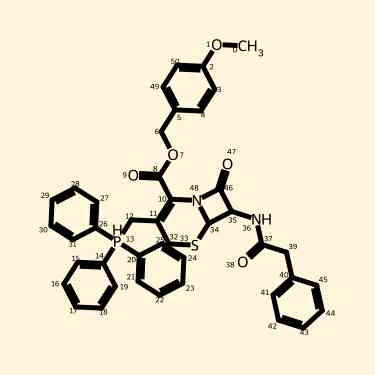 COc1ccc(COC(=O)C2=C(C[PH](c3ccccc3)(c3ccccc3)c3ccccc3)CSC3C(NC(=O)Cc4ccccc4)C(=O)N23)cc1